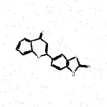 O=c1[nH]c2ccc(-c3cc(=O)c4ccccc4o3)cc2o1